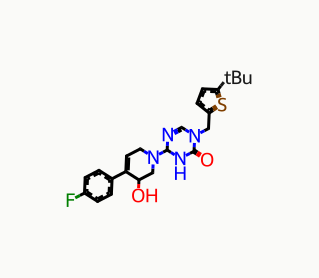 CC(C)(C)c1ccc(CN2C=NC(N3CC=C(c4ccc(F)cc4)C(O)C3)NC2=O)s1